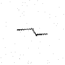 CCCCCCCCCCCCCCC(C)CCCCCC(C)CCCCCCCCCC